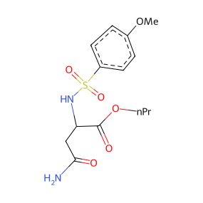 CCCOC(=O)C(CC(N)=O)NS(=O)(=O)c1ccc(OC)cc1